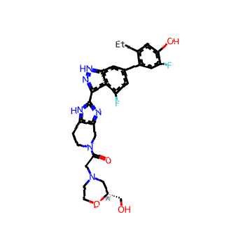 CCc1cc(O)c(F)cc1-c1cc(F)c2c(-c3nc4c([nH]3)CCN(C(=O)CN3CCO[C@@H](CO)C3)C4)n[nH]c2c1